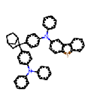 c1ccc(N(c2ccccc2)c2ccc(C3(c4ccc(N(c5ccccc5)c5ccc6sc7ccccc7c6c5)cc4)CC4CCC3C4)cc2)cc1